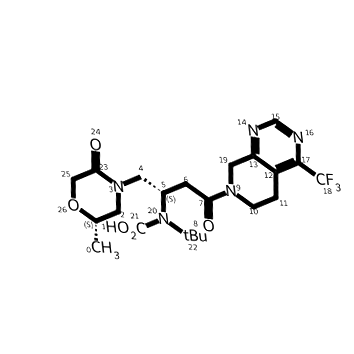 C[C@H]1CN(C[C@H](CC(=O)N2CCc3c(ncnc3C(F)(F)F)C2)N(C(=O)O)C(C)(C)C)C(=O)CO1